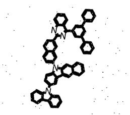 c1ccc(-c2cc(-c3ccccc3)cc(-c3nc(-c4ccc5ccc(-n6c7ccc(-n8c9ccccc9c9ccccc98)cc7c7cc8ccccc8cc76)cc5c4)nc4ccccc34)c2)cc1